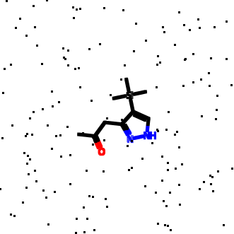 CC(=O)Cc1n[nH]cc1[Si](C)(C)C